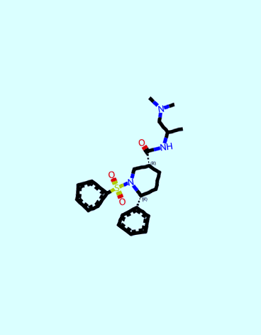 CC(CN(C)C)NC(=O)[C@@H]1CC[C@H](c2ccccc2)N(S(=O)(=O)c2ccccc2)C1